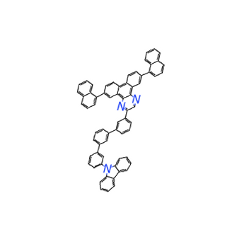 c1cc(-c2cccc(-c3cnc4c5cc(-c6cccc7ccccc67)ccc5c5ccc(-c6cccc7ccccc67)cc5c4n3)c2)cc(-c2cccc(-n3c4ccccc4c4ccccc43)c2)c1